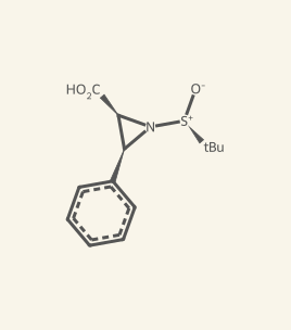 CC(C)(C)[S@+]([O-])N1[C@H](C(=O)O)[C@@H]1c1ccccc1